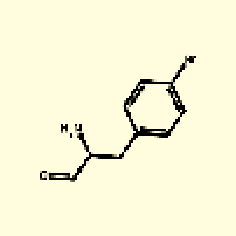 N[C@H]([C]=O)Cc1ccc(Br)cc1